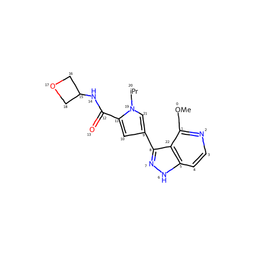 COc1nccc2[nH]nc(-c3cc(C(=O)NC4COC4)n(C(C)C)c3)c12